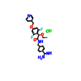 CCOC(C(=O)NCc1ccc(C(=N)N)cc1)c1c(F)cc(OCc2ccncc2)cc1F.Cl